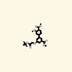 COC(=O)c1cc(OCC(=O)OC(C)(C)C)cc(-c2ccc(C(=O)OC)c(OC)c2)c1